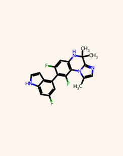 Cc1cnc2n1-c1c(cc(F)c(-c3cc(F)cc4[nH]ccc34)c1F)NC2(C)C